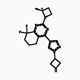 C[C@H]1CCN1c1nc(-c2cnn(C3CNC3)c2)c2c(n1)C(F)(F)CCC2